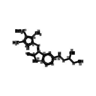 CCOC(=O)c1c(C)[nH]c(C=C2C(=O)Nc3ccc(NCC(O)CO)cc32)c1C